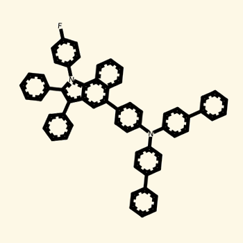 Fc1ccc(-n2c(-c3ccccc3)c(-c3ccccc3)c3cc(-c4ccc(N(c5ccc(-c6ccccc6)cc5)c5ccc(-c6ccccc6)cc5)cc4)c4ccccc4c32)cc1